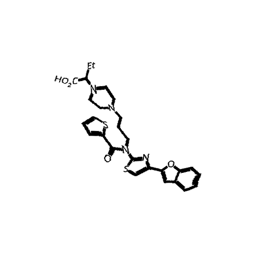 CCC(C(=O)O)N1CCN(CCCN(C(=O)c2cccs2)c2nc(-c3cc4ccccc4o3)cs2)CC1